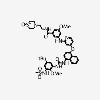 COc1cc(Nc2cc(Oc3ccc(NC(=O)Nc4cc(C(C)(C)C)cc(NS(C)(=O)=O)c4OC)c4ccccc34)ccn2)cc(C(=O)NCCN2CC[S+]([O-])CC2)c1